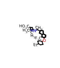 CCC1CCC(Oc2ccc3ccc([C@H](C)N[C@H]4C[C@@H](C(=O)O)C4(C)C)cc3c2C(F)(F)F)CC1